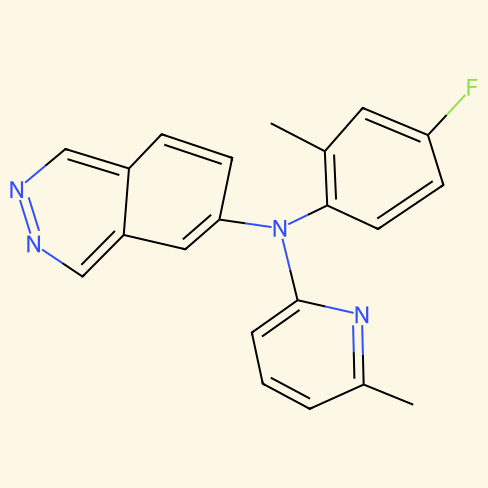 Cc1cccc(N(c2ccc3cnncc3c2)c2ccc(F)cc2C)n1